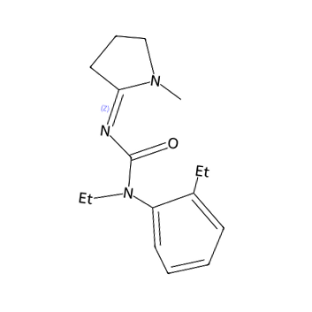 CCc1ccccc1N(CC)C(=O)/N=C1/CCCN1C